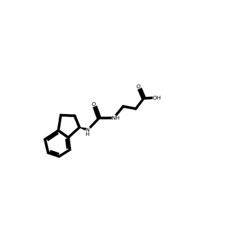 O=C(O)CCNC(=O)N[C@@H]1CCc2ccccc21